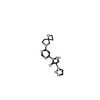 O=c1c(-n2ccnn2)c[nH]n1-c1cc(N2CCC3(CCO3)C2)ncn1